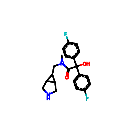 CN(CC1C2CNCC21)C(=O)C(O)(c1ccc(F)cc1)c1ccc(F)cc1